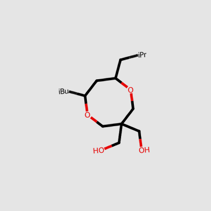 CCC(C)C1CC(CC(C)C)OCC(CO)(CO)CO1